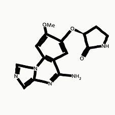 COc1cc2c(cc1O[C@H]1CCNC1=O)c(N)nc1cncn12